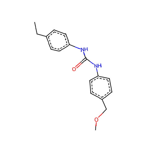 CCc1ccc(NC(=O)Nc2ccc(COC)cc2)cc1